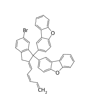 C=C/C=C\C=C1/Cc2ccc(Br)cc2C1(c1ccc2oc3ccccc3c2c1)c1ccc2oc3ccccc3c2c1